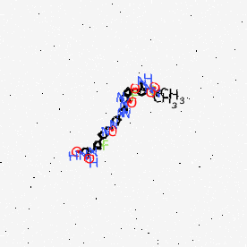 CCN(C)S(=O)(=O)Nc1ccc(F)c(Oc2ccc3ncn(-c4cnn(C5CCN(C(=O)CN6CCC(c7ccc(NC8CCC(=O)NC8=O)cc7F)CC6)CC5)c4)c(=O)c3c2)c1C#N